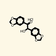 Cl.O=C(c1ccc2c(c1)OCO2)C(O)c1ccc2c(c1)OCO2